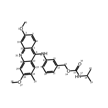 COc1ccc2c(Nc3cccc(COC(=O)NC(C)C)c3)c3cc(C)c(OC)cc3nc2c1